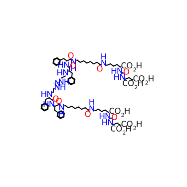 O=C(O)CCC(NC(=O)NC(CCCCNC(=O)CCCCCCCNC(=O)C(Cc1ccccc1)NC(=O)C(Cc1ccccc1)NCCN[N]NCCNC(Cc1ccccc1)C(=O)NC(Cc1ccccc1)C(=O)NCCCCCCCC(=O)NCCCCC(NC(=O)NC(CCC(=O)O)C(=O)O)C(=O)O)C(=O)O)C(=O)O